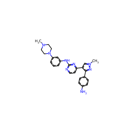 CN1CCN(c2cccc(Nc3nccc(-c4cn(C)nc4-c4ccc(N)cc4)n3)c2)CC1